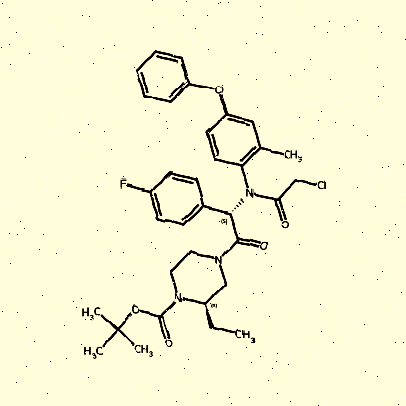 CC[C@@H]1CN(C(=O)[C@H](c2ccc(F)cc2)N(C(=O)CCl)c2ccc(Oc3ccccc3)cc2C)CCN1C(=O)OC(C)(C)C